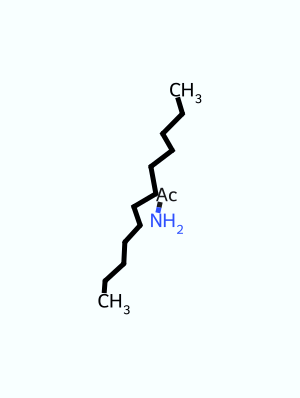 CC(N)=O.CCCCCCCCCCCC